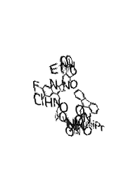 CC[C@@]1(O)C(=O)OCc2c1cc1n(c2=O)Cc2c-1nc1cc(F)c(Cl)cc1c2CNC(=O)C[C@H](C)OCNC(=O)[C@H](C)NC(=O)[C@H](C(C)C)N(C)C(=O)OC1c2ccccc2-c2ccccc21